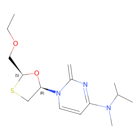 C=C1N=C(N(C)C(C)C)C=CN1[C@H]1CS[C@@H](COCC)O1